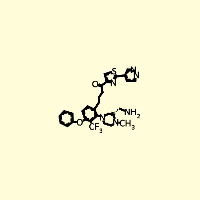 CN1CCN(c2c(CCCC(=O)c3csc(-c4ccnnc4)n3)ccc(Oc3ccccc3)c2C(F)(F)F)C[C@@H]1CN